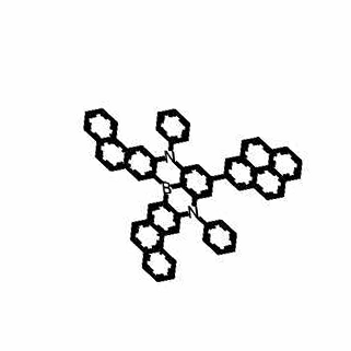 c1ccc(N2c3cc4c(ccc5ccccc54)cc3B3c4cc5ccc6ccccc6c5cc4N(c4ccccc4)c4cc(-c5cc6ccc7cccc8ccc(c5)c6c78)cc2c43)cc1